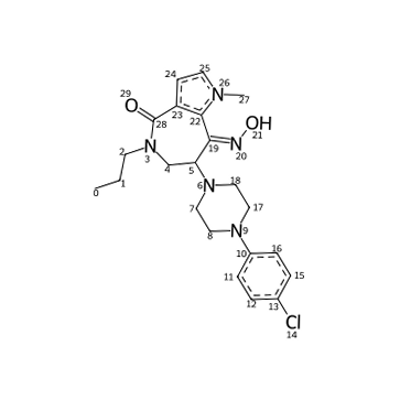 CCCN1CC(N2CCN(c3ccc(Cl)cc3)CC2)C(=NO)c2c(ccn2C)C1=O